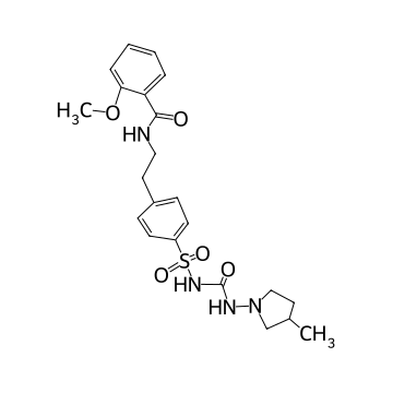 COc1ccccc1C(=O)NCCc1ccc(S(=O)(=O)NC(=O)NN2CCC(C)C2)cc1